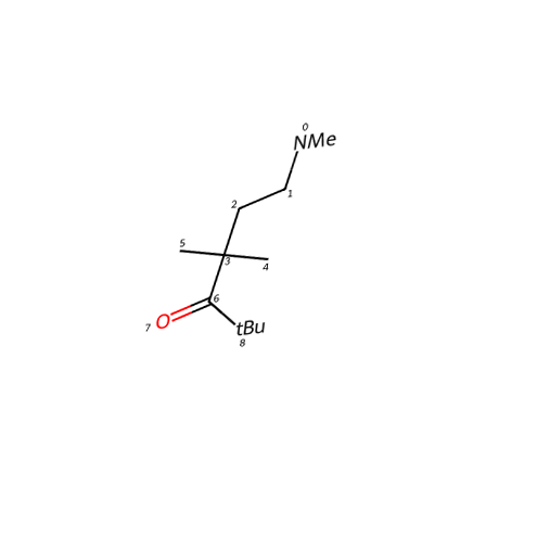 CNCCC(C)(C)C(=O)C(C)(C)C